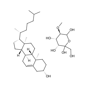 CC(C)CCC[C@@H](C)[C@H]1CC[C@H]2[C@@H]3CC=C4C[C@@H](O)CC[C@]4(C)[C@H]3CC[C@]12C.CO[C@H]1C(O)OC(O)(CO)[C@H](O)[C@@H]1O